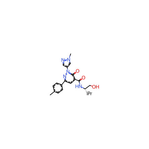 Cc1ccc(-c2cc(C(=O)N[C@H](CO)C(C)C)c(=O)n(-c3cnn(C)c3)n2)cc1